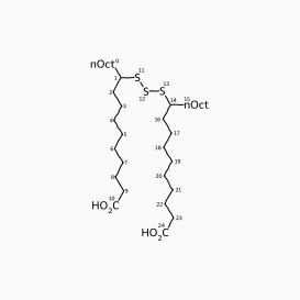 CCCCCCCCC(CCCCCCCCC(=O)O)SSSC(CCCCCCCC)CCCCCCCCC(=O)O